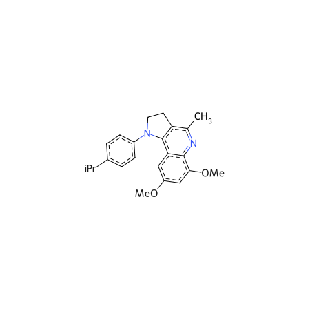 COc1cc(OC)c2nc(C)c3c(c2c1)N(c1ccc(C(C)C)cc1)CC3